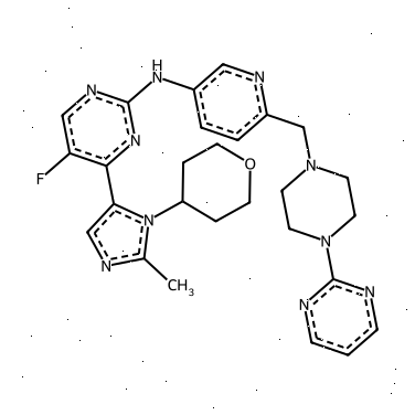 Cc1ncc(-c2nc(Nc3ccc(CN4CCN(c5ncccn5)CC4)nc3)ncc2F)n1C1CCOCC1